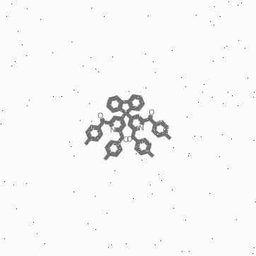 Cc1ccc(C(=O)c2cc(C3(c4cc(C(=O)c5ccc(C)cc5)nc(C(=O)c5ccc(C)cc5)c4)c4ccccc4-c4ccccc43)cc(C(=O)c3ccc(C)cc3)n2)cc1